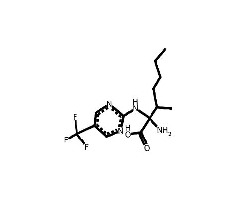 CCCCC(C)C(N)(Nc1ncc(C(F)(F)F)cn1)C(=O)O